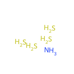 N.S.S.S.S